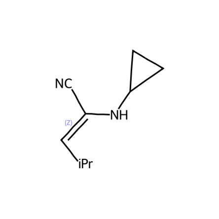 CC(C)/C=C(/C#N)NC1CC1